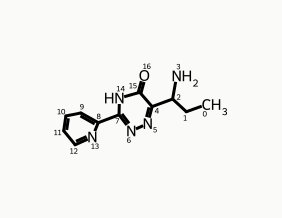 CCC(N)c1nnc(-c2ccccn2)[nH]c1=O